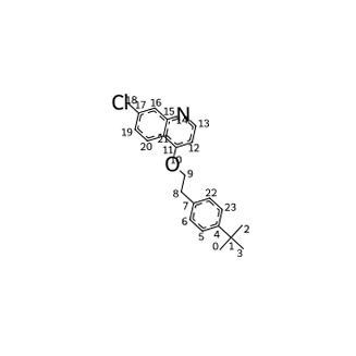 CC(C)(C)c1ccc(CCOc2ccnc3cc(Cl)ccc23)cc1